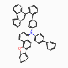 c1ccc(-c2ccc(N(c3ccc(-c4ccccc4-c4cc5ccccc5c5ccccc45)cc3)c3cccc4c3ccc3c5ccccc5oc43)cc2)cc1